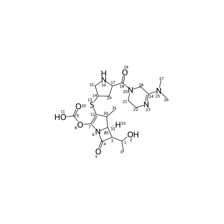 CC(O)C1C(=O)N2C(OC(=O)O)=C(SC3CNC(C(=O)N4CCN=C(N(C)C)C4)C3)C(C)[C@@H]12